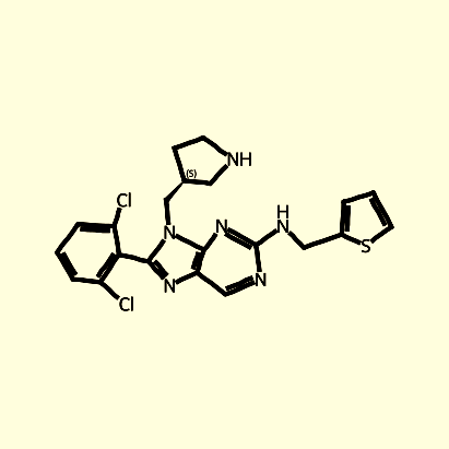 Clc1cccc(Cl)c1-c1nc2cnc(NCc3cccs3)nc2n1C[C@H]1CCNC1